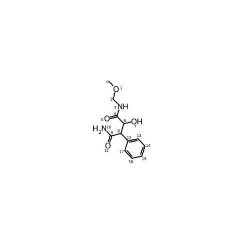 COCNC(=O)C(O)C(C(N)=O)c1ccccc1